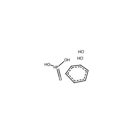 Cl.Cl.O=[PH](O)O.c1ccccc1